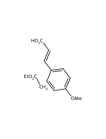 CCOC(C)=O.COc1ccc(C=CC(=O)O)cc1